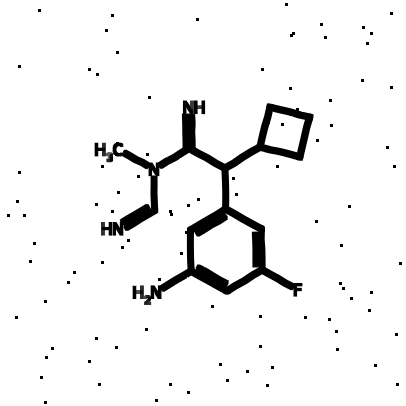 CN(C=N)C(=N)C(c1cc(N)cc(F)c1)C1CCC1